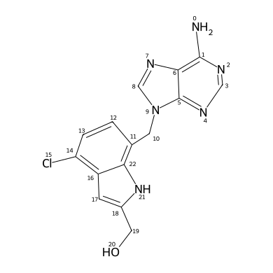 Nc1ncnc2c1ncn2Cc1ccc(Cl)c2cc(CO)[nH]c12